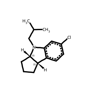 CC(C)CN1c2cc(Cl)ccc2[C@@H]2CCC[C@@H]21